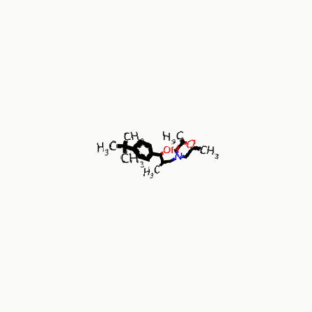 CC1CN(CC(C)C(O)c2ccc(C(C)(C)C)cc2)CC(C)O1